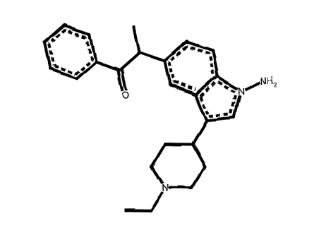 CCN1CCC(c2cn(N)c3ccc(C(C)C(=O)c4ccccc4)cc23)CC1